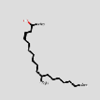 CCCCCCCCCCCCCCCCC(CCCCCC/C=C\CC(O)CCCCCC)C(=O)O